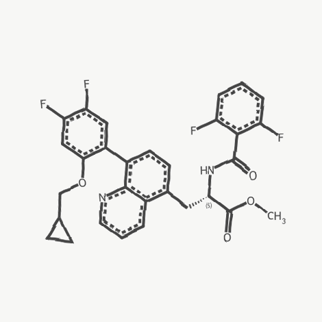 COC(=O)[C@H](Cc1ccc(-c2cc(F)c(F)cc2OCC2CC2)c2ncccc12)NC(=O)c1c(F)cccc1F